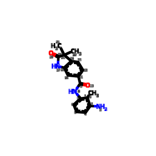 Cc1c(N)cccc1NC(=O)c1ccc2c(c1)NC(=O)C2(C)C